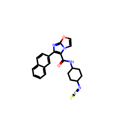 O=C(NC1CCC(N=C=S)CC1)c1c(-c2ccc3ccccc3c2)nc2occn12